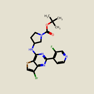 CC(C)(C)OC(=O)N1CCC(Nc2nc(-c3ccncc3F)nc3c(Br)csc23)C1